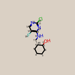 OC1CCCC[C@@H]1CNc1nc(Cl)ncc1F